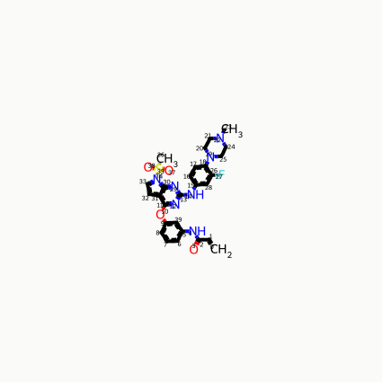 C=CC(=O)Nc1cccc(Oc2nc(Nc3ccc(N4CCN(C)CC4)c(F)c3)nc3c2ccn3S(C)(=O)=O)c1